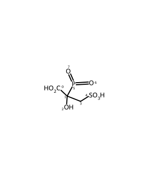 O=C(O)C(O)(CS(=O)(=O)O)P(=O)=O